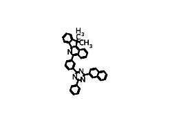 CC1(C)c2ccccc2-c2nc(-c3cccc(-c4nc(-c5ccccc5)nc(-c5ccc6ccccc6c5)n4)c3)c3ccccc3c21